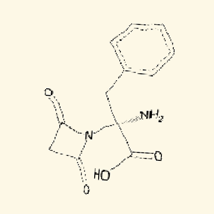 N[C@](Cc1ccccc1)(C(=O)O)N1C(=O)CC1=O